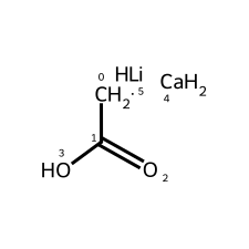 [CH2]C(=O)O.[CaH2].[LiH]